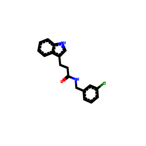 O=C(CCc1c[nH]c2ccccc12)NCc1cccc(Cl)c1